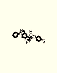 CSc1ccc(OCC(O)(c2ccc3c(cnn3-c3ccccc3)c2)C(F)(F)F)cc1